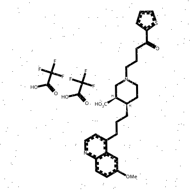 COc1ccc2nccc(CCC[C@@H]3CCN(CCCC(=O)c4cccs4)C[C@@H]3C(=O)O)c2c1.O=C(O)C(F)(F)F.O=C(O)C(F)(F)F